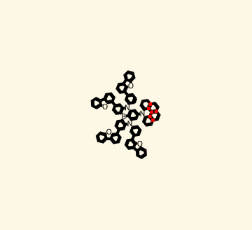 c1cc(-c2cccc3c2oc2ccccc23)cc(N2c3cc(-c4cccc5c4oc4ccccc45)ccc3B3c4ccc(-c5cccc6c5oc5ccccc56)cc4N(c4cccc(-c5cccc6c5oc5ccccc56)c4)c4cc(N(C5=CCCC=C5c5ccccc5)c5ccccc5-c5ccccc5)cc2c43)c#1